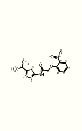 CC(C)c1nnc(NC(=O)COc2ccccc2[N+](=O)[O-])s1